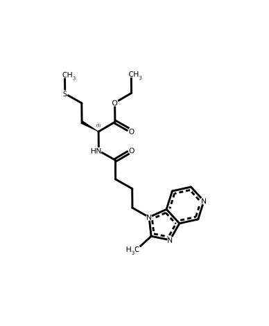 CCOC(=O)[C@H](CCSC)NC(=O)CCCn1c(C)nc2cnccc21